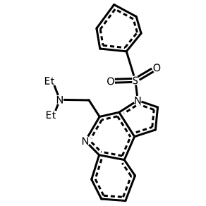 CCN(CC)Cc1nc2ccccc2c2ccn(S(=O)(=O)c3ccccc3)c12